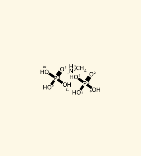 C.N.O=P(O)(O)O.O=P(O)(O)O